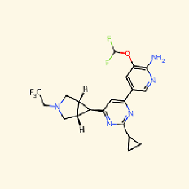 Nc1ncc(-c2cc([C@H]3[C@@H]4CN(CC(F)(F)F)C[C@@H]43)nc(C3CC3)n2)cc1OC(F)F